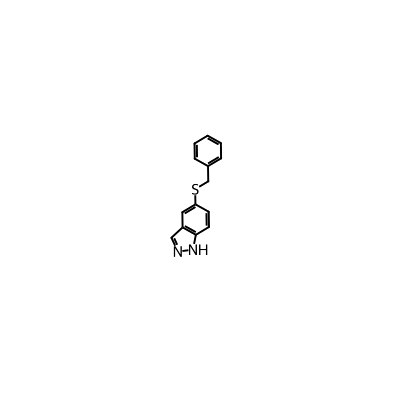 c1ccc(CSc2ccc3[nH]ncc3c2)cc1